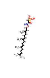 CC(C)=CCC/C(C)=C/CC/C(C)=C/CC/C(C)=C/CONC(=O)C[PH](=O)O